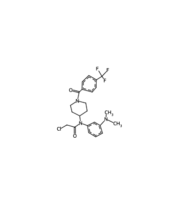 CN(C)c1cccc(N(C(=O)CCl)C2CCN(C(=O)c3ccc(C(F)(F)F)cc3)CC2)c1